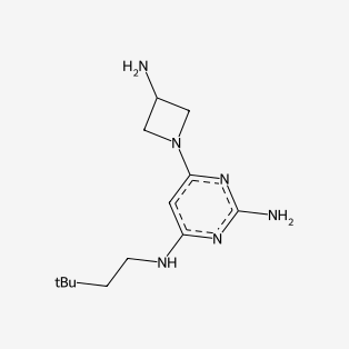 CC(C)(C)CCNc1cc(N2CC(N)C2)nc(N)n1